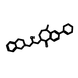 CN1CCN(CC(O)CN2CCc3ccccc3C2)C(=O)c2ccc(C3=CCCCC3)cc21